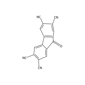 N#Cc1cc2c(cc1C#N)-c1cc(C#N)c(C#N)cc1C2=O